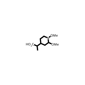 COC1CC(C(C)C(=O)O)CCN1OC